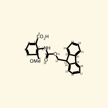 COc1cccc(C(=O)O)c1NC(=O)OCC1c2ccccc2-c2ccccc21